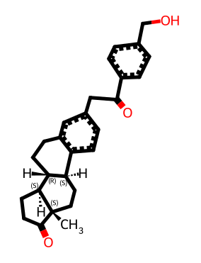 C[C@]12CC[C@@H]3c4ccc(CC(=O)c5ccc(CO)cc5)cc4CC[C@H]3[C@@H]1CCC2=O